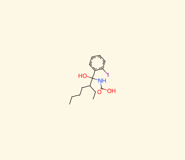 CCCCC(CC)C(O)(NC(=O)O)c1ccccc1I